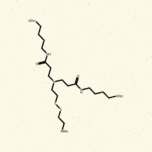 CCCCCCCCCCCCCCNC(=O)CCN(CCSSCCNC)CCC(=O)NCCCCCCCCCCCCCC